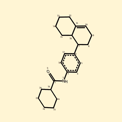 O=C(Nc1ccc(C2CCC=C3CCCCC32)cc1)C1CCCCC1